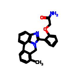 Cc1cccc2c1Cn1c(-c3ccccc3OCC(N)=O)nc3cccc-2c31